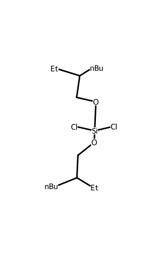 CCCCC(CC)CO[Si](Cl)(Cl)OCC(CC)CCCC